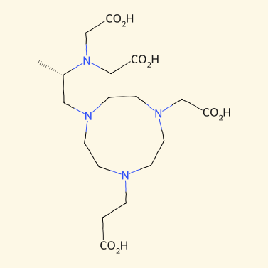 C[C@@H](CN1CCN(CCC(=O)O)CCN(CC(=O)O)CC1)N(CC(=O)O)CC(=O)O